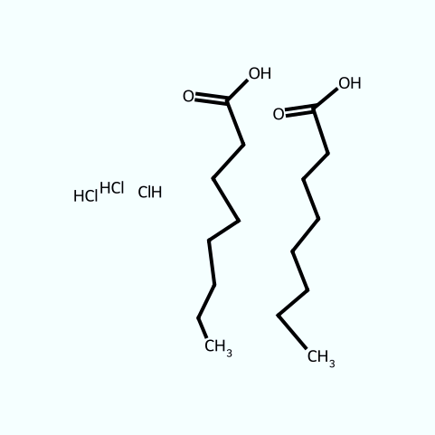 CCCCCCCC(=O)O.CCCCCCCC(=O)O.Cl.Cl.Cl